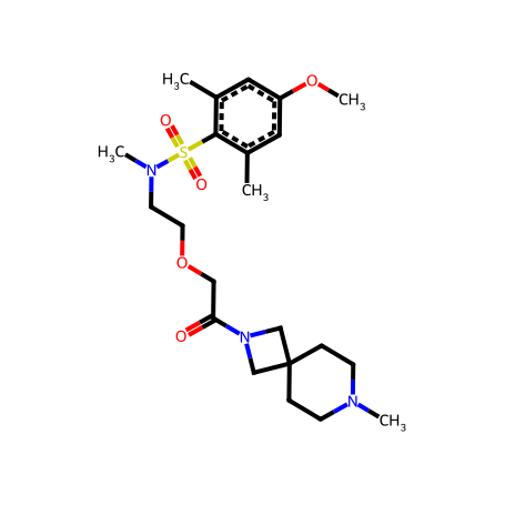 COc1cc(C)c(S(=O)(=O)N(C)CCOCC(=O)N2CC3(CCN(C)CC3)C2)c(C)c1